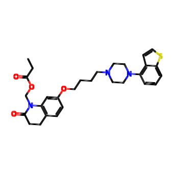 CCC(=O)OCN1C(=O)CCc2ccc(OCCCCN3CCN(c4cccc5sccc45)CC3)cc21